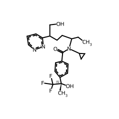 CCC(CCC(CO)c1cccnn1)N(C(=O)c1ccc([C@](C)(O)C(F)(F)F)cc1)C1CC1